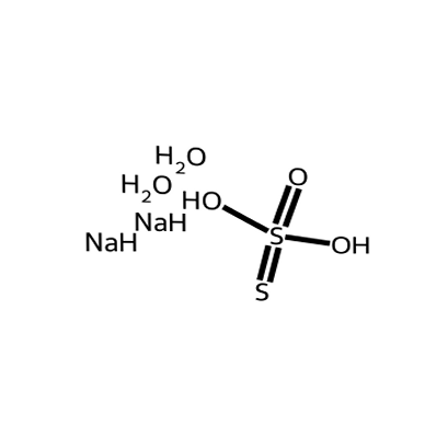 O.O.O=S(O)(O)=S.[NaH].[NaH]